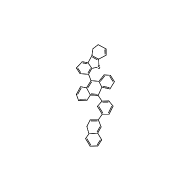 C1=CC2=CC(c3cccc(-c4c5ccccc5c(-c5cccc6c7c(sc56)C=CCC7)c5ccccc45)c3)=CCC2C=C1